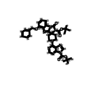 CC(C)(C)OC(=O)N1C(=O)n2c(nc3c(OCc4ccccc4)cccc32)C12CCN(c1ncnc3c1ncn3C(=O)OC(C)(C)C)CC2